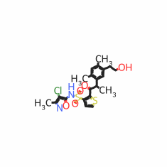 Cc1cc(C)c(C(C)C(=O)c2sccc2S(=O)(=O)Nc2onc(C)c2Cl)cc1CCO